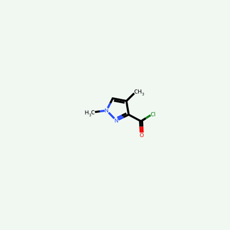 Cc1cn(C)nc1C(=O)Cl